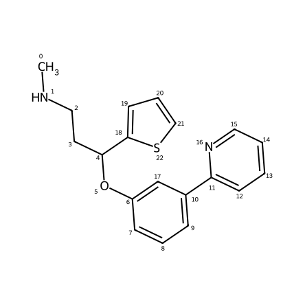 CNCCC(Oc1cccc(-c2ccccn2)c1)c1cccs1